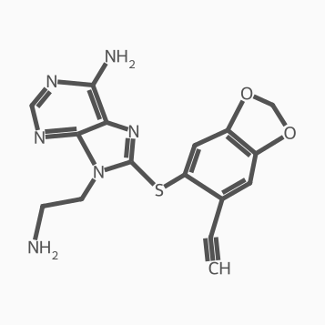 C#Cc1cc2c(cc1Sc1nc3c(N)ncnc3n1CCN)OCO2